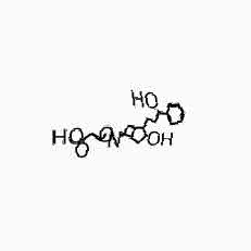 O=C(O)CCON=C1CC2C1CC(O)C2CCC(O)c1ccccc1